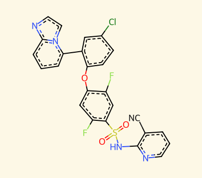 N#Cc1cccnc1NS(=O)(=O)c1cc(F)c(Oc2ccc(Cl)cc2-c2cccc3nccn23)cc1F